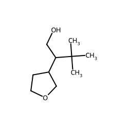 CC(C)(C)C(CO)C1CCOC1